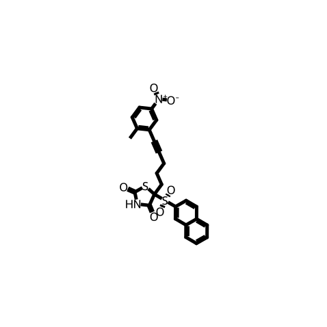 Cc1ccc([N+](=O)[O-])cc1C#CCCCC1(S(=O)(=O)c2ccc3ccccc3c2)SC(=O)NC1=O